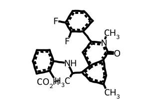 Cc1cc(C(C)Nc2ccccc2C(=O)O)c2cc(-c3cccc(F)c3F)n(C)c(=O)c2c1